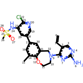 C=Cc1cnc(N)nc1N1CCOc2c(C)cc(-c3cnc(Cl)c(NS(C)(=O)=O)c3)cc2C1